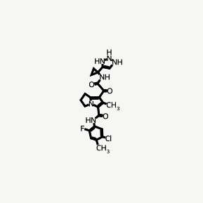 Cc1cc(F)c(NC(=O)c2c(C)c(C(=O)C(=O)NC3(C4=CNNN4)CC3)c3n2CCC3)cc1Cl